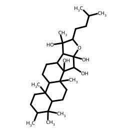 CC(C)CCC1OC2(O)C(C3CCC4C5(C)CCC(C)C(C)(C)C5CCC4(C)C3(O)C2O)C1(C)O